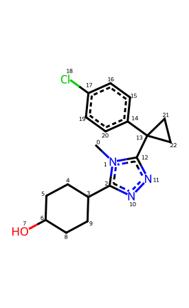 Cn1c(C2CCC(O)CC2)nnc1C1(c2ccc(Cl)cc2)CC1